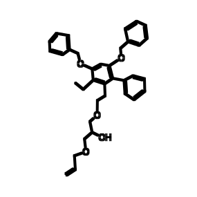 C=CCOCC(O)COCCc1c(CC)c(OCc2ccccc2)cc(OCc2ccccc2)c1-c1ccccc1